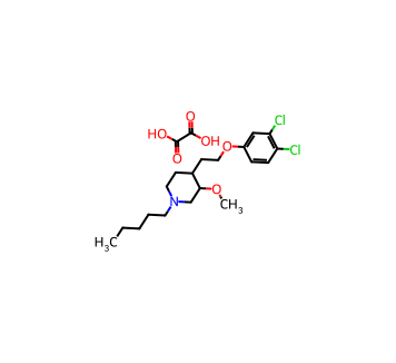 CCCCCN1CCC(CCOc2ccc(Cl)c(Cl)c2)C(OC)C1.O=C(O)C(=O)O